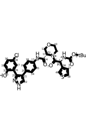 CC(C)(C)OC(=O)N[C@@H](C(=O)N1CCOC[C@H]1C(=O)Nc1ccc(-c2c[nH]nc2-c2cc(Cl)ccc2O)cc1)c1ccsc1